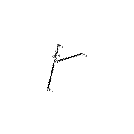 CCCCCCCCCCCCCCCCCCOC[C@H](COC(=O)NCCOCCOC)OCCCCCCCCCCCCCCCCCC